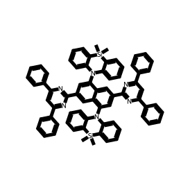 C[Si]1(C)c2ccccc2N(c2cc(-c3nc(-c4ccccc4)cc(-c4ccccc4)n3)cc3c(N4c5ccccc5[Si](C)(C)c5ccccc54)cc(-c4nc(-c5ccccc5)cc(-c5ccccc5)n4)cc23)c2ccccc21